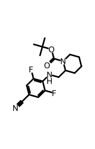 CC(C)(C)OC(=O)N1CCCCC1CNc1c(F)cc(C#N)cc1F